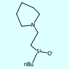 CCCC[S+]([O-])CCN1CCCCC1